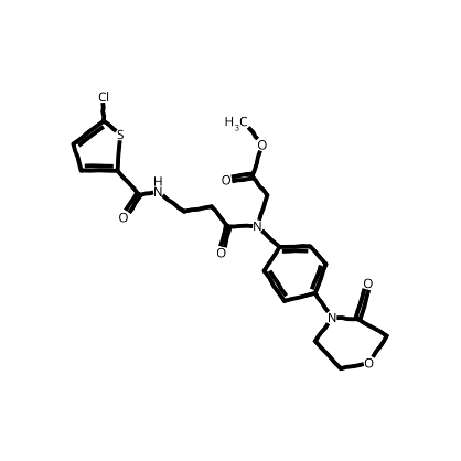 COC(=O)CN(C(=O)CCNC(=O)c1ccc(Cl)s1)c1ccc(N2CCOCC2=O)cc1